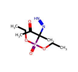 CCOP(=O)(OCC)C(C)(N=N)C(C)=O